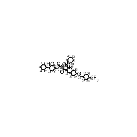 O=C(O)[C@H](Cc1ccc(-c2ccccc2)cc1)NC(=O)[C@@H]1Cc2ccc(OCc3ccc(C(F)(F)F)cc3)cc2CN1C(=O)N1CCCCC1